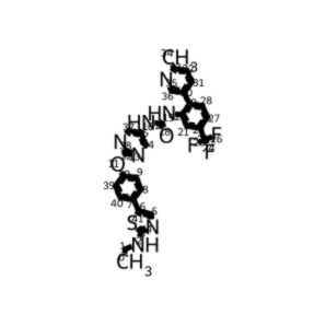 CCNc1ncc(-c2ccc(Oc3ncc(NC(=O)Nc4cc(C(F)(F)F)ccc4-c4ccc(C)nc4)cn3)cc2)s1